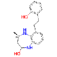 C[C@@H]1CC(O)Nc2cccc(CCc3ccccc3O)c2N1